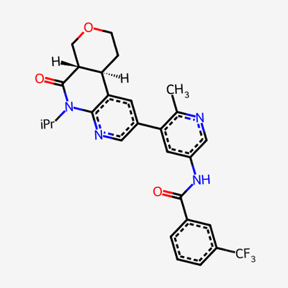 Cc1ncc(NC(=O)c2cccc(C(F)(F)F)c2)cc1-c1cnc2c(c1)[C@@H]1CCOC[C@H]1C(=O)N2C(C)C